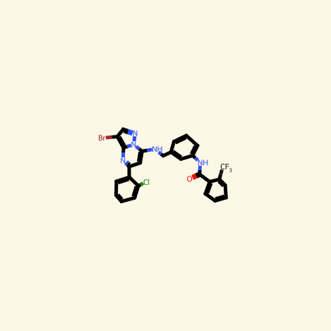 O=C(Nc1cccc(CNc2cc(-c3ccccc3Cl)nc3c(Br)cnn23)c1)c1ccccc1C(F)(F)F